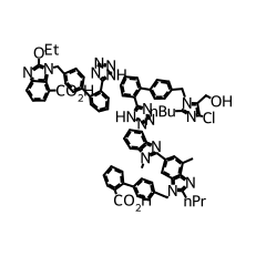 CCCCc1nc(Cl)c(CO)n1Cc1ccc(-c2ccccc2-c2nnn[nH]2)cc1.CCCc1nc2c(C)cc(-c3nc4ccccc4n3C)cc2n1Cc1ccc(-c2ccccc2C(=O)O)cc1.CCOc1nc2cccc(C(=O)O)c2n1Cc1ccc(-c2ccccc2-c2nnn[nH]2)cc1